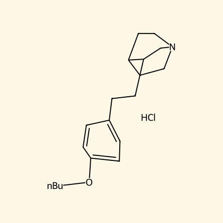 CCCCOc1ccc(CCC2CN3CCC2CC3)cc1.Cl